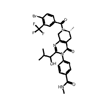 CNC(=O)c1ccc(-n2c(C(O)C(C)C)nc3c(c2=O)C[C@@H](C)N(C(=O)c2ccc(Br)c(C(F)(F)F)c2)C3)cc1